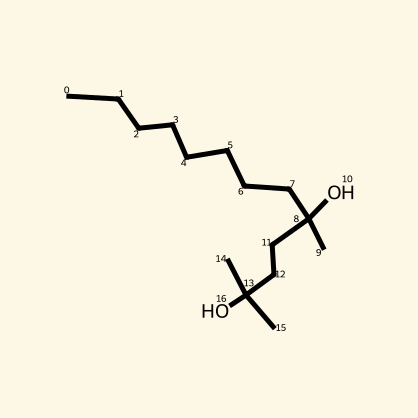 CCCCCCCCC(C)(O)CCC(C)(C)O